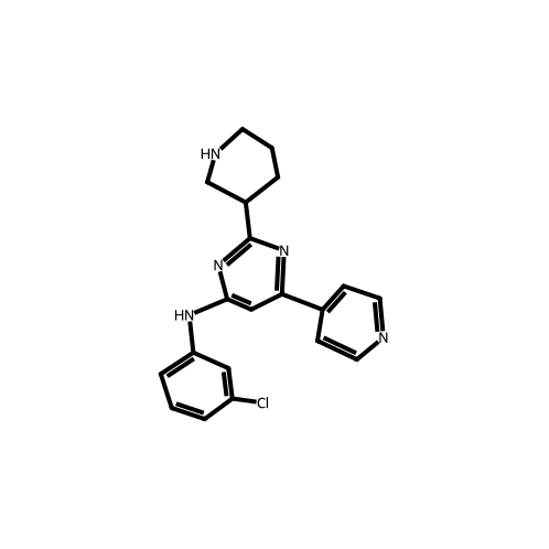 Clc1cccc(Nc2cc(-c3ccncc3)nc(C3CCCNC3)n2)c1